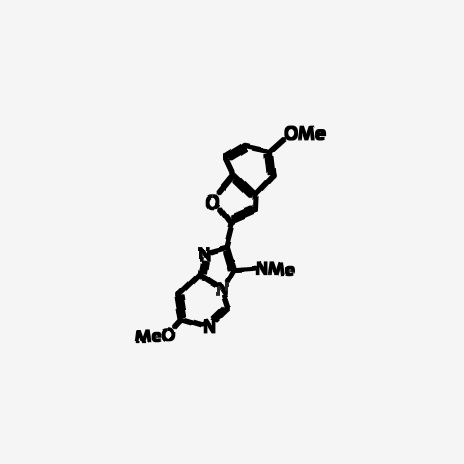 CNc1c(-c2cc3cc(OC)ccc3o2)nc2cc(OC)ncn12